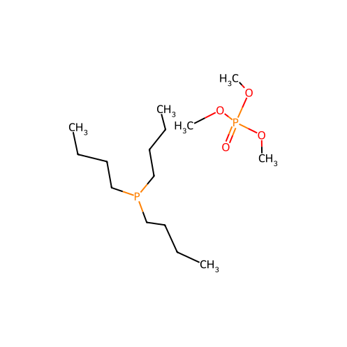 CCCCP(CCCC)CCCC.COP(=O)(OC)OC